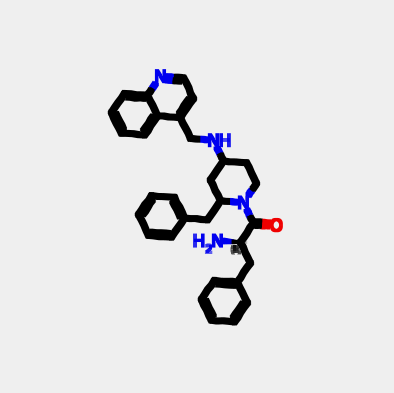 N[C@H](Cc1ccccc1)C(=O)N1CCC(NCc2ccnc3ccccc23)CC1Cc1ccccc1